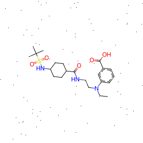 CCN(CCNC(=O)C1CCC(NS(=O)(=O)C(C)(C)C)CC1)c1cccc(C(=O)O)c1